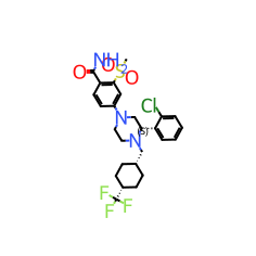 CS(=O)(=O)c1cc(N2CCN(C[C@H]3CC[C@@H](C(F)(F)F)CC3)[C@@H](c3ccccc3Cl)C2)ccc1C(N)=O